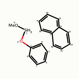 CO[SiH2]Oc1ccccc1.c1ccc2ccccc2c1